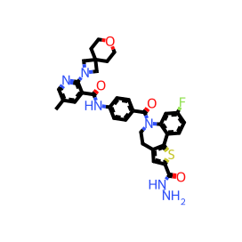 Cc1cnc(N2CC3(CCOCC3)C2)c(C(=O)Nc2ccc(C(=O)N3CCc4cc(C(=O)NN)sc4-c4ccc(F)cc43)cc2)c1